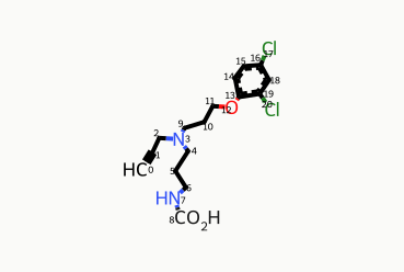 C#CCN(CCCNC(=O)O)CCCOc1ccc(Cl)cc1Cl